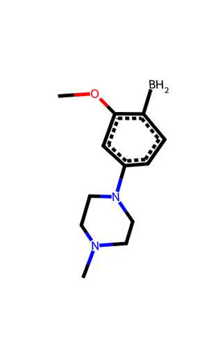 Bc1ccc(N2CCN(C)CC2)cc1OC